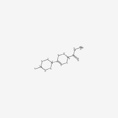 CN1CCN(C2=CCN(C(=O)OC(C)(C)C)CC2)CC1